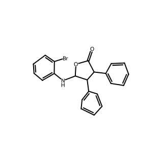 O=C1OC(Nc2ccccc2Br)C(c2ccccc2)C1c1ccccc1